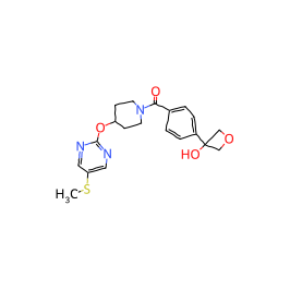 CSc1cnc(OC2CCN(C(=O)c3ccc(C4(O)COC4)cc3)CC2)nc1